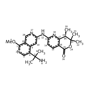 COc1ncc(C(C)(C)N)c2cc(Nc3ccc4c(n3)[C@@H](C)C(C)(C)OC4=O)ncc12